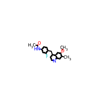 COc1cc2c(Cc3ccc(NC(C)=O)cc3F)ccnc2cc1C